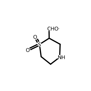 O=[C]C1CNCCS1(=O)=O